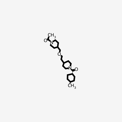 CC(=O)N1CCC(COCCC2CCN(C(=O)[C@H]3CC[C@H](C)CC3)CC2)CC1